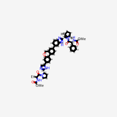 CCC(NC(=O)OC)C(=O)N1CCC[C@H]1c1ncc(-c2ccc3c(c2)OCc2cc(-c4ccc5nc([C@@H]6[C@H]7CC[C@H](C7)N6C(=O)[C@H](NC(=O)OC)c6ccccc6)[nH]c5c4)ccc2-3)[nH]1